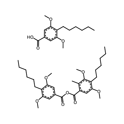 CCCCCCc1c(OC)cc(C(=O)O)cc1OC.CCCCCCc1c(OC)cc(C(=O)OC(=O)c2cc(OC)c(CCCCCC)c(OC)c2C)cc1OC